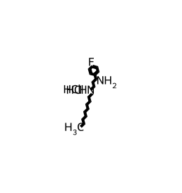 CCCCCCCCCCNCCC(N)c1ccc(F)cc1.Cl.Cl